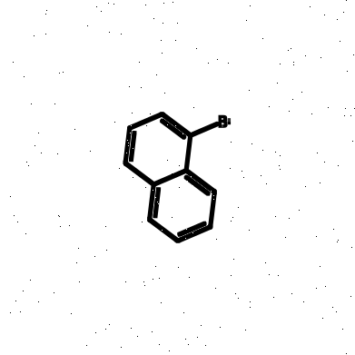 [B]c1cccc2ccccc12